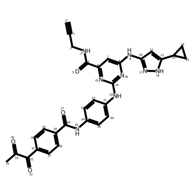 C#CCNC(=O)c1cc(Nc2cc(C3CC3)[nH]n2)nc(Nc2ccc(NC(=O)c3ccc(C(=O)C(C)=O)cc3)cc2)n1